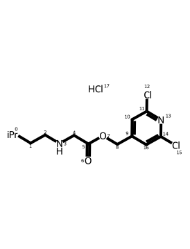 CC(C)CCNCC(=O)OCc1cc(Cl)nc(Cl)c1.Cl